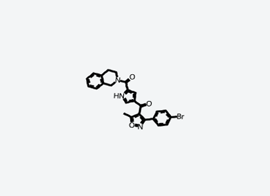 Cc1onc(-c2ccc(Br)cc2)c1C(=O)c1c[nH]c(C(=O)N2CCc3ccccc3C2)c1